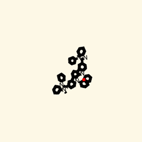 C[n+]1c(-c2ccc3c(c2)c2ccc4c5cc(-c6nc7ccccc7n6-c6ccccc6)ccc5n(-c5ccccc5)c4c2n3-c2ccccc2)n(-c2ccccc2)c2ccccc21